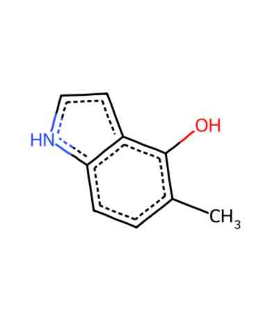 Cc1ccc2[nH]ccc2c1O